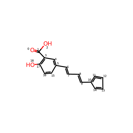 O=C(O)c1cc(/C=C/C=C/C2=C=CC=C2)ccc1O